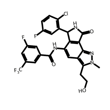 Cn1nc2c3c(c(NC(=O)c4cc(F)cc(C(F)(F)F)c4)cc2c1CCO)C(c1cc(F)ccc1Cl)NC3=O